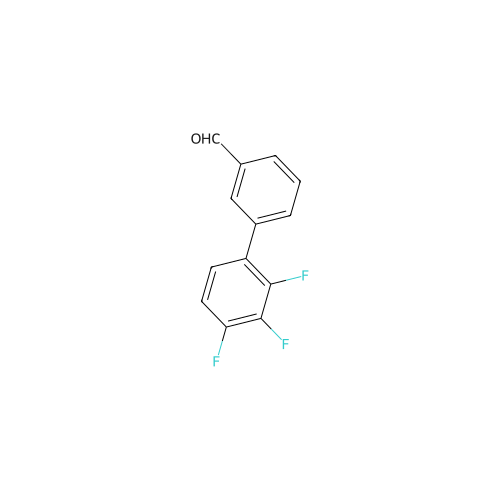 O=Cc1cccc(-c2ccc(F)c(F)c2F)c1